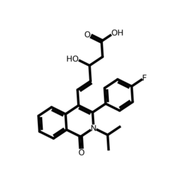 CC(C)n1c(-c2ccc(F)cc2)c(/C=C/C(O)CC(=O)O)c2ccccc2c1=O